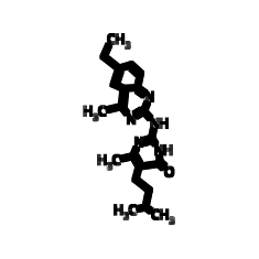 CCc1ccc2nc(Nc3nc(C)c(CCC(C)C)c(=O)[nH]3)nc(C)c2c1